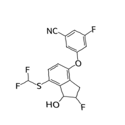 N#Cc1cc(F)cc(Oc2ccc(SC(F)F)c3c2CC(F)C3O)c1